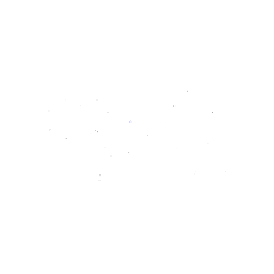 O=C1C(/C=C2/Oc3ccccc3N2Cc2ccccc2)=C(O)C/1=C\c1oc2ccccc2[n+]1CCO